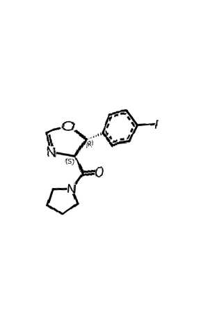 O=C([C@H]1N=CO[C@@H]1c1ccc(I)cc1)N1CCCC1